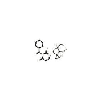 O=C(c1ccccc1)n1c(=O)ccn([C@@H]2O[C@@H]3COSO[C@H]3C23CC3)c1=O